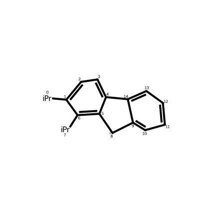 CC(C)c1ccc2c(c1C(C)C)[C]c1ccccc1-2